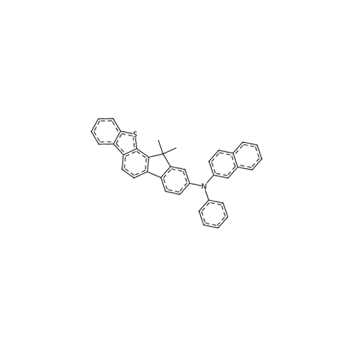 CC1(C)c2cc(N(c3ccccc3)c3ccc4ccccc4c3)ccc2-c2ccc3c(sc4ccccc43)c21